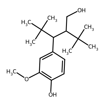 COc1cc(C(C(CO)C(C)(C)C)C(C)(C)C)ccc1O